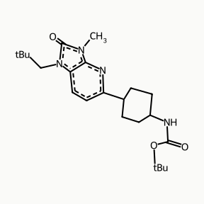 Cn1c(=O)n(CC(C)(C)C)c2ccc(C3CCC(NC(=O)OC(C)(C)C)CC3)nc21